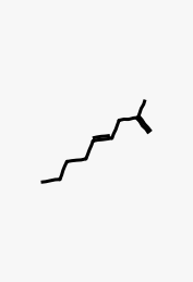 C=C(C)C/C=C/CCCC